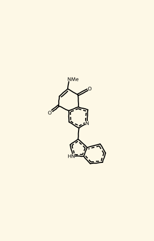 CNC1=CC(=O)c2cc(-c3c[nH]c4ccccc34)ncc2C1=O